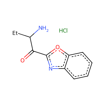 CCC(N)C(=O)c1nc2ccccc2o1.Cl